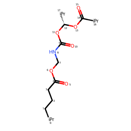 CC(C)CCCC(=O)OCNC(=O)O[C@@H](OC(=O)C(C)C)C(C)C